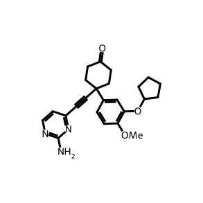 COc1ccc(C2(C#Cc3ccnc(N)n3)CCC(=O)CC2)cc1OC1CCCC1